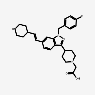 O=C(O)CN1CCC(c2nn(Cc3ccc(F)cc3)c3cc(C=CC4CCNCC4)ccc23)CC1